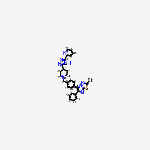 CCc1nn2c(-c3ccc(CN4CCC(c5nnc(-c6ccccn6)[nH]5)CC4)cc3)c(-c3ccccc3)nc2s1